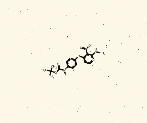 CNc1nccc(Oc2ccc(N(F)C(=O)OC(C)(C)C)cc2)c1[N+](=O)[O-]